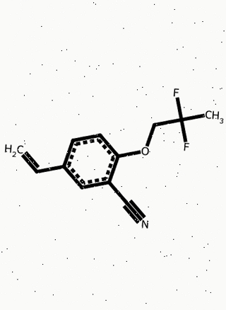 C=Cc1ccc(OCC(C)(F)F)c(C#N)c1